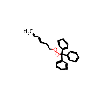 C=CC=CCCOOC(c1ccccc1)(c1ccccc1)c1ccccc1